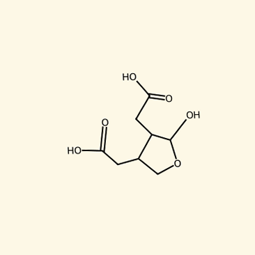 O=C(O)CC1COC(O)C1CC(=O)O